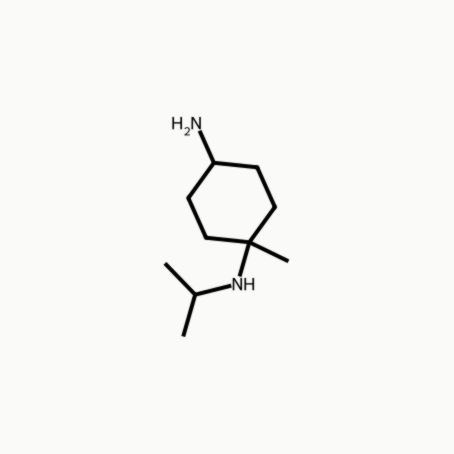 CC(C)NC1(C)CCC(N)CC1